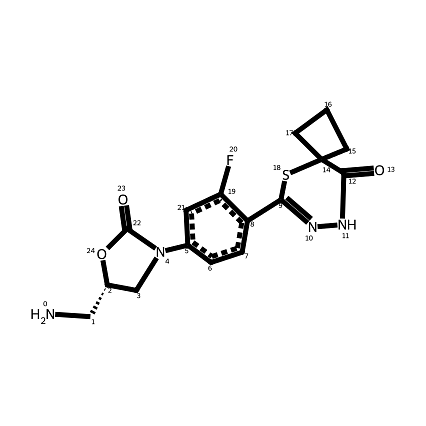 NC[C@H]1CN(c2ccc(C3=NNC(=O)C4(CCC4)S3)c(F)c2)C(=O)O1